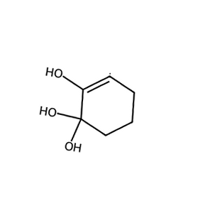 OC1=[C]CCCC1(O)O